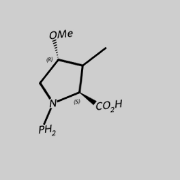 CO[C@H]1CN(P)[C@H](C(=O)O)C1C